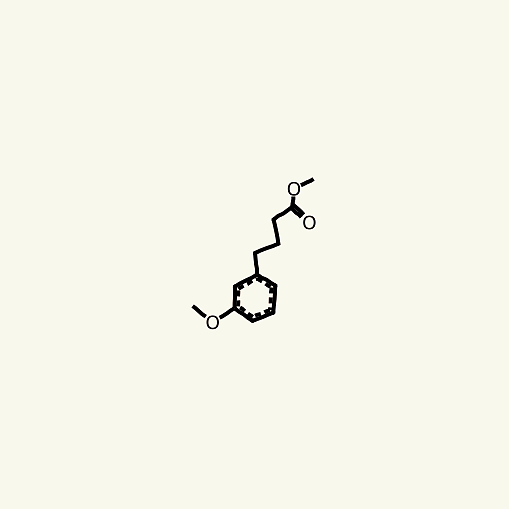 COC(=O)CCCc1cccc(OC)c1